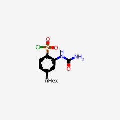 CCCCCCc1ccc(S(=O)(=O)Cl)c(NC(N)=O)c1